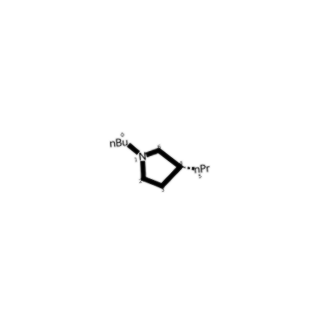 CCCCN1CC[C@@H](CCC)C1